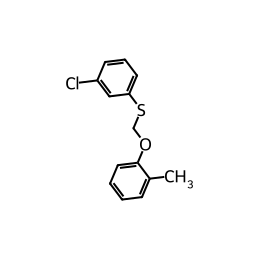 Cc1ccccc1OCSc1cccc(Cl)c1